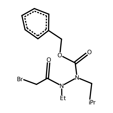 CCN(C(=O)CBr)N(CC(C)C)C(=O)OCc1ccccc1